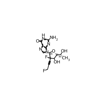 C[C@@H](O)[C@H]1O[C@@H](n2cnc3c(=O)[nH]c(N)nc32)[C@@](F)(C#CCF)C1O